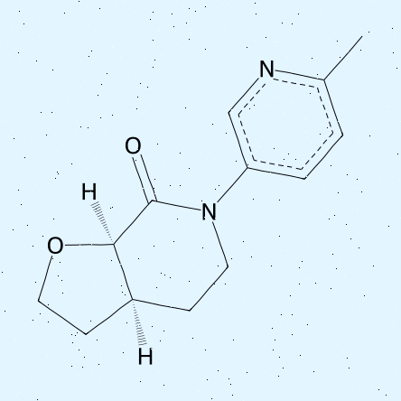 Cc1ccc(N2CC[C@H]3CCO[C@H]3C2=O)cn1